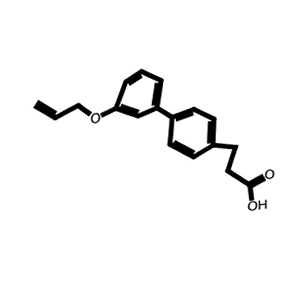 C=CCOc1cccc(-c2ccc(CCC(=O)O)cc2)c1